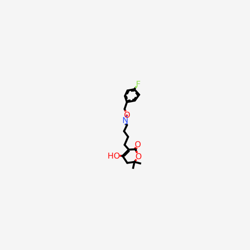 CC1(C)CC(O)=C(CCCC=NOCc2ccc(F)cc2)C(=O)O1